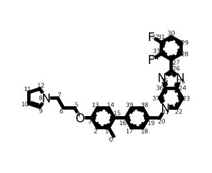 Cc1cc(OCCCN2C=CCC2)ccc1-c1ccc(Cn2ccc3nc(-c4cccc(F)c4F)nc-3c2)cc1